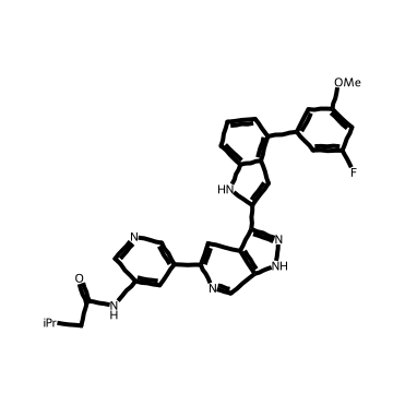 COc1cc(F)cc(-c2cccc3[nH]c(-c4n[nH]c5cnc(-c6cncc(NC(=O)CC(C)C)c6)cc45)cc23)c1